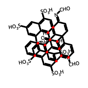 O=CN=C1C=CC2(c3ccccc3)C(=O)N(c3ccc(S(=O)(=O)O)c4cc(S(=O)(=O)O)cc(S(=O)(=O)O)c34)NC1=C2C(=O)C1=C2NN(c3ccc(S(=O)(=O)O)c4cc(S(=O)(=O)O)cc(S(=O)(=O)O)c34)C(=O)C1(c1ccccc1)C=CC2=NC=O